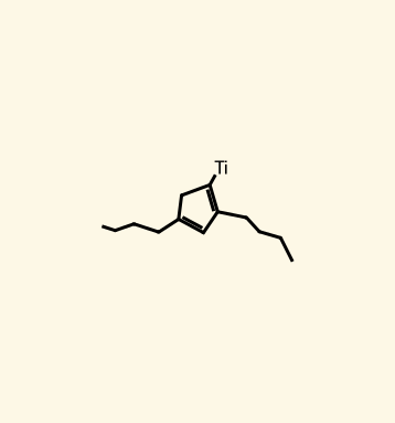 CCCCC1=CC(CCCC)=[C]([Ti])C1